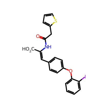 O=C(Cc1cccs1)NC(=Cc1ccc(Oc2ccccc2I)cc1)C(=O)O